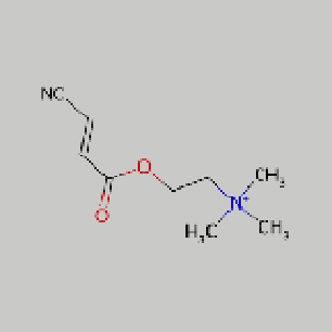 C[N+](C)(C)CCOC(=O)C=CC#N